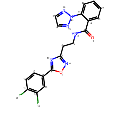 O=C(NCCc1noc(-c2ccc(F)c(F)c2)n1)c1ccccc1-n1nccn1